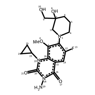 COc1c(N2CCCC(O)(CO)C2)c(F)cc2c(=O)n(N)c(=O)n(C3CC3)c12